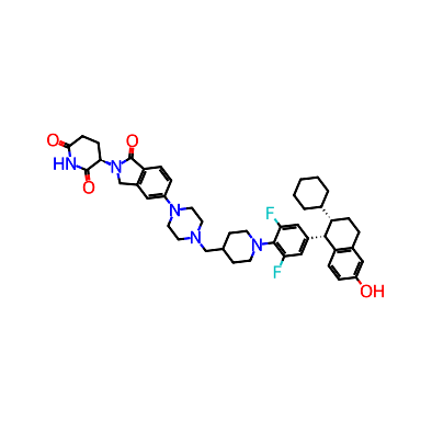 O=C1CC[C@@H](N2Cc3cc(N4CCN(CC5CCN(c6c(F)cc([C@H]7c8ccc(O)cc8CC[C@H]7C7CCCCC7)cc6F)CC5)CC4)ccc3C2=O)C(=O)N1